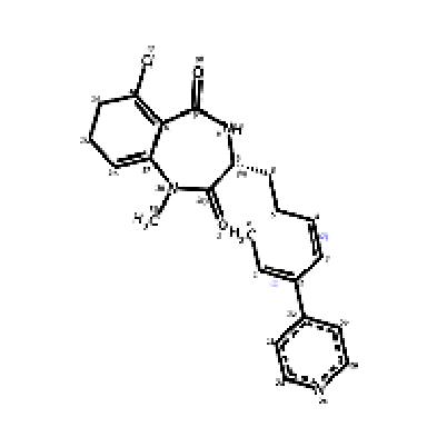 C/C=C(\C=C/CC[C@H]1NC(=O)C2=C(Cl)CCC=C2N(C)C1=O)c1ccncc1